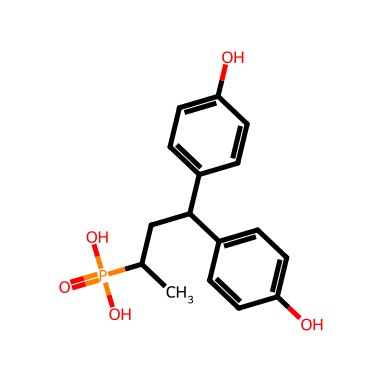 CC(CC(c1ccc(O)cc1)c1ccc(O)cc1)P(=O)(O)O